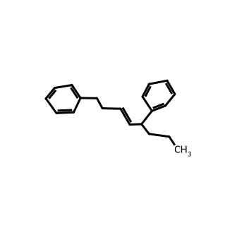 CCCC(C=CCCc1ccccc1)c1ccccc1